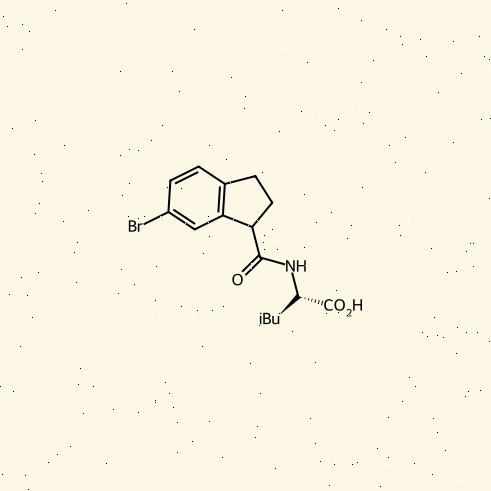 CC[C@H](C)[C@H](NC(=O)C1CCc2ccc(Br)cc21)C(=O)O